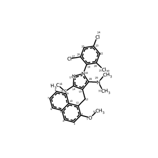 COc1ccc2ccccc2c1Cc1c(SC)nn(-c2c(Cl)cc(Cl)cc2Cl)c1N(C)C